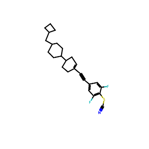 N#CSc1c(F)cc(C#CC2=CCC(C3CCC(CC4CCC4)CC3)CC2)cc1F